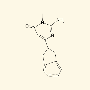 Cn1c(N)nc(C2Cc3ccccc3C2)cc1=O